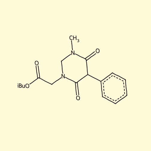 CC(C)COC(=O)CN1CN(C)C(=O)C(c2ccccc2)C1=O